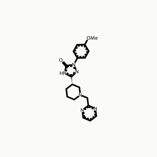 COc1ccc(-n2nc([C@H]3CCCN(Cc4ncccn4)C3)[nH]c2=O)cc1